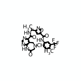 Cc1ccc(NC(=O)c2cc([C@H](C)NC(=O)c3ncnc4c3CN(C)CC(=O)N4)no2)cc1C(F)(F)F